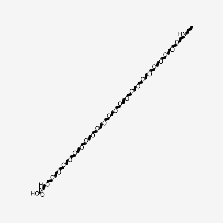 CCCCNCCCOCCOCCOCCOCCOCCOCCOCCOCCOCCOCCOCCOCCOCCOCCOCCOCCOCCOCCOCCOCCOCCOCCOCCOCCNC(=O)O